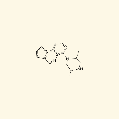 CC1CN(c2cccc3c2ncc2cccn23)C(C)CN1